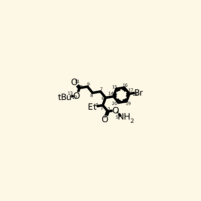 CCC(C(=O)ON)C(CCCC(=O)OC(C)(C)C)c1ccc(Br)cc1